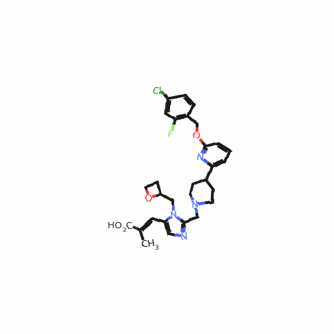 CC(=Cc1cnc(CN2CCC(c3cccc(OCc4ccc(Cl)cc4F)n3)CC2)n1CC1CCO1)C(=O)O